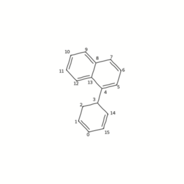 C1=CCC(c2cccc3ccccc23)C=C1